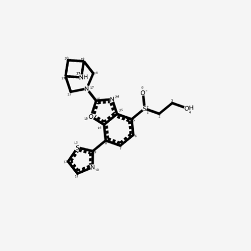 [O-][S+](CCO)c1ccc(-c2nccs2)c2oc(N3CC4CC(C3)N4)nc12